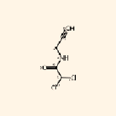 C#CCNC(=O)C(Cl)Cl